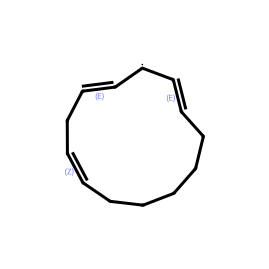 [CH]1/C=C/C/C=C\CCCCC/C=C/1